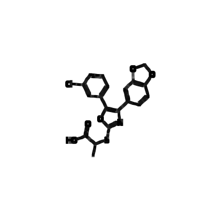 CC(Sc1nc(-c2ccc3c(c2)OCO3)c(-c2cccc(Cl)c2)o1)C(=O)O